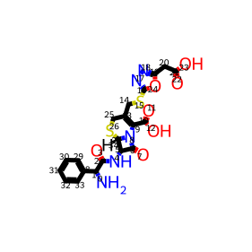 NC(C(=O)NC1C(=O)N2C(C(=O)O)=C(CSc3nnc(CC(=O)O)o3)CS[C@@H]12)c1ccccc1